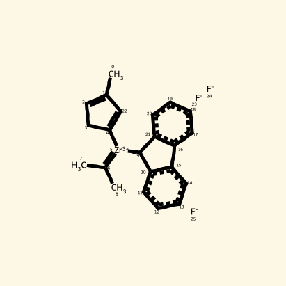 CC1=CC[C]([Zr+3](=[C](C)C)[CH]2c3ccccc3-c3ccccc32)=C1.[F-].[F-].[F-]